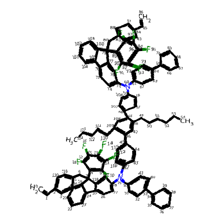 C=Cc1ccc(CC2(c3c(F)c(F)c(F)c(F)c3F)c3ccccc3-c3ccc(N(c4ccc(-c5ccccc5)cc4)c4ccc(-c5cc(CCCCCC)c(-c6ccc(N(c7ccc(-c8ccccc8)cc7)c7ccc8c(c7)C(Cc7ccc(C=C)cc7)(c7c(F)c(F)c(F)c(F)c7F)c7ccccc7-8)cc6)cc5CCCCC)cc4)cc32)cc1